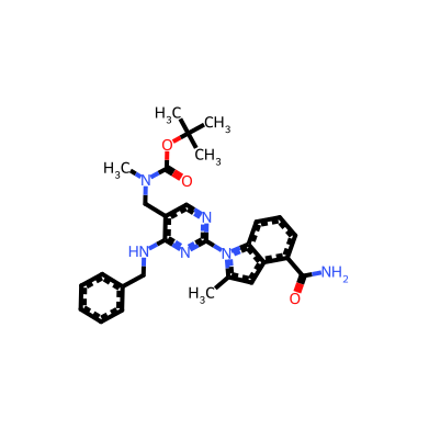 Cc1cc2c(C(N)=O)cccc2n1-c1ncc(CN(C)C(=O)OC(C)(C)C)c(NCc2ccccc2)n1